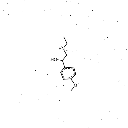 CCNCC(O)c1ccc(OC)cc1